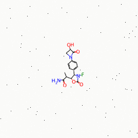 CC(C(N)=O)C1OC(=O)N(F)C1c1ccc(N2CC(O)C2=O)cc1